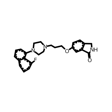 O=C1NCc2ccc(OCCCN3CCN(c4cccc5cccc(F)c45)CC3)cc21